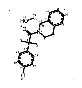 CC(C)(C(=O)N1CCc2ccccc2[C@H]1CO)c1ccc(Cl)cc1